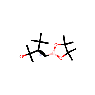 CC(C)(C)/C(=C\B1OC(C)(C)C(C)(C)O1)C(C)(C)[O]